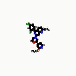 COc1cc([C@H]2CN(c3cc4nc(C)ccc4c(-c4ccc(Cl)cc4F)n3)CCO2)ccn1